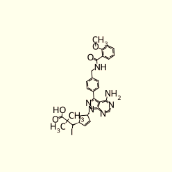 COc1ccccc1C(=O)NCc1ccc(-c2nn([C@H]3C=C[C@@H](C(I)C(C)(C)C(=O)O)C3)c3ncnc(N)c23)cc1